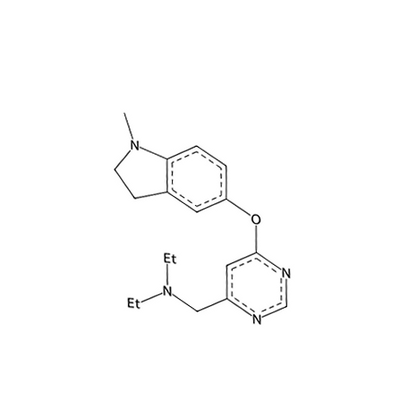 CCN(CC)Cc1cc(Oc2ccc3c(c2)CCN3C)ncn1